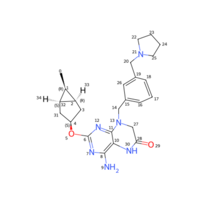 C[C@H]1[C@H]2C[C@@H](Oc3nc(N)c4c(n3)N(Cc3cccc(CN5CCCC5)c3)CC(=O)N4)C[C@@H]12